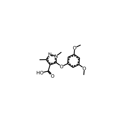 COc1cc(OC)cc(Oc2c(C(=O)O)c(C)nn2C)c1